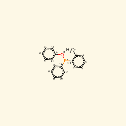 Cc1ccccc1[P@](Oc1ccccc1)c1ccccc1